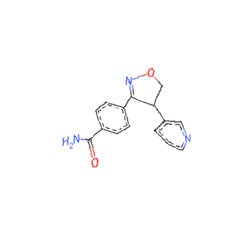 NC(=O)c1ccc(C2=NOCC2c2cccnc2)cc1